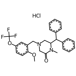 COc1ccc(OC(F)(F)F)cc1CN1CC(=O)N(C)C(C(c2ccccc2)c2ccccc2)C1.Cl